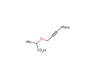 CCCCCC#CCOC(CCCC)C(=O)O